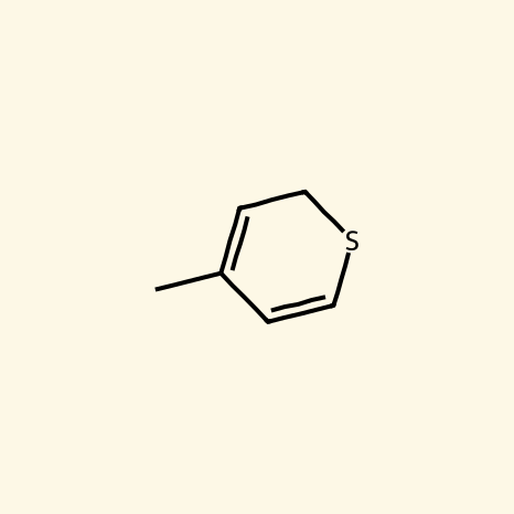 CC1=CCSC=C1